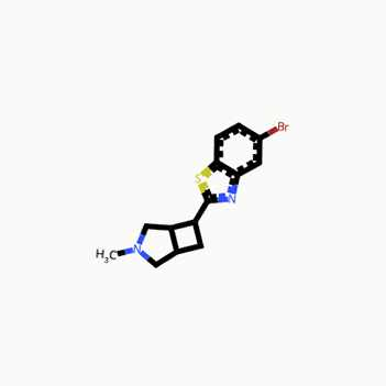 CN1CC2CC(c3nc4cc(Br)ccc4s3)C2C1